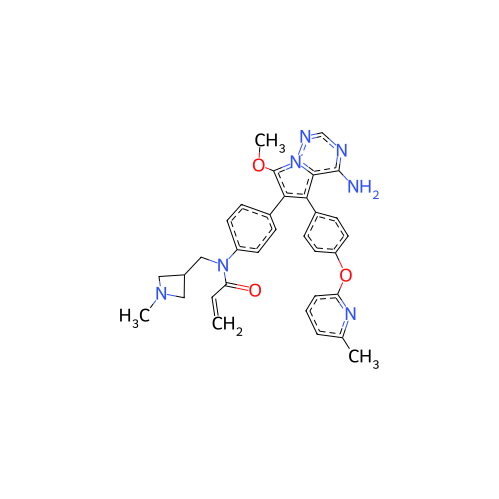 C=CC(=O)N(CC1CN(C)C1)c1ccc(-c2c(-c3ccc(Oc4cccc(C)n4)cc3)c3c(N)ncnn3c2OC)cc1